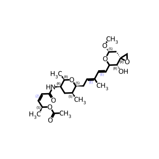 CO[C@@H]1C[C@@]2(CO2)[C@H](O)C(/C=C/C(C)=C/C[C@@H]2O[C@H](C)[C@H](NC(=O)/C=C\[C@H](C)OC(C)=O)C[C@@H]2C)O1